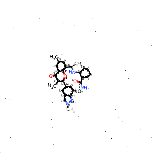 CONC(=O)c1ccccc1N[C@H](C)c1cc(C)cc2c(=O)c(C)c(-c3ccc4nn(C)cc4c3)oc12